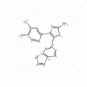 Cc1cc(-c2nc(N)sc2-c2ccc3cn[nH]c3c2)ccc1F